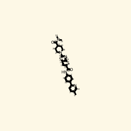 Cc1ccc(-c2ccc(NC(=O)c3cc4sc(N5CCC(C(=O)N(C)C)CC5)nc4s3)cc2)nc1